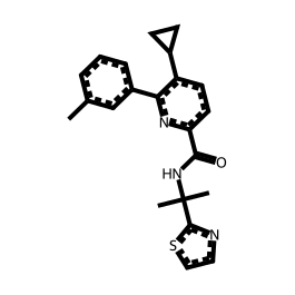 Cc1cccc(-c2nc(C(=O)NC(C)(C)c3nccs3)ccc2C2CC2)c1